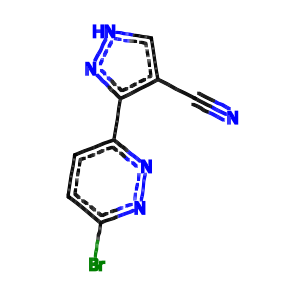 N#Cc1c[nH]nc1-c1ccc(Br)nn1